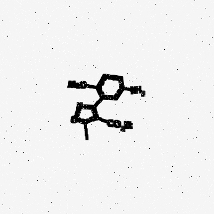 CCOC(=O)c1c(-c2cc(N)ccc2OC)noc1C